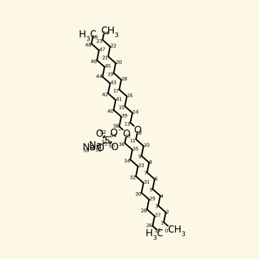 CCCCCCCCCCCCOCCCCCCCCCCCC.CCCCCCCCCCCCOCCCCCCCCCCCC.O=S(=O)([O-])[O-].[Na+].[Na+]